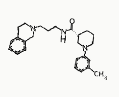 Cc1cccc(N2CCC[C@@H](C(=O)NCCCN3CCc4ccccc4C3)C2)c1